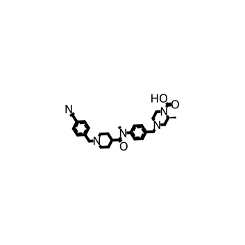 C[C@H]1CN(Cc2ccc(N(C)C(=O)C3CCN(Cc4ccc(C#N)cc4)CC3)cc2)CCN1C(=O)O